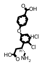 Cl.NC[C@H](CC(=O)O)c1cc(Oc2ccc(C(=O)O)cc2)ccc1Cl